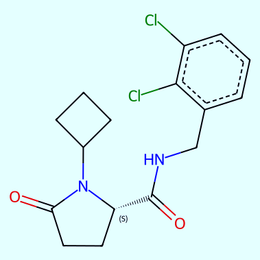 O=C(NCc1cccc(Cl)c1Cl)[C@@H]1CCC(=O)N1C1CCC1